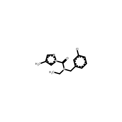 CCN(Cc1cccc(Cl)c1)C(=O)n1cc(C)cn1